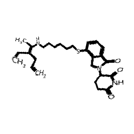 C=CCC(CC)C(C)NCCCCCCSc1cccc2c1CN(C1CCC(=O)NC1=O)C2=O